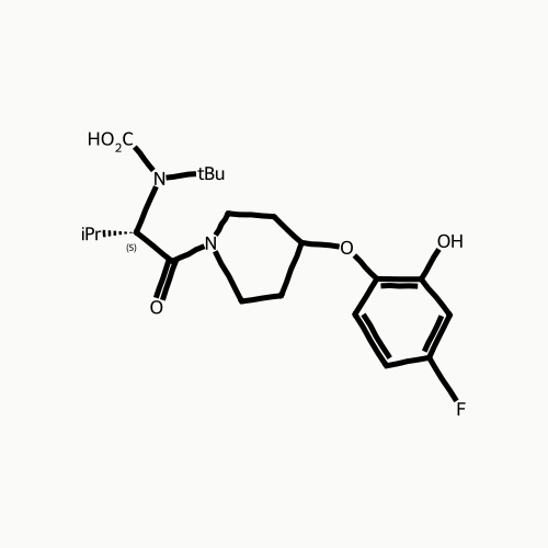 CC(C)[C@@H](C(=O)N1CCC(Oc2ccc(F)cc2O)CC1)N(C(=O)O)C(C)(C)C